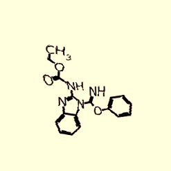 CCOC(=O)Nc1nc2ccccc2n1C(=N)Oc1ccccc1